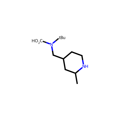 CC1CC(CN(C(=O)O)C(C)(C)C)CCN1